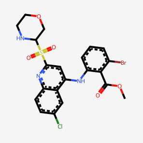 COC(=O)c1c(Br)cccc1Nc1cc(S(=O)(=O)C2COCCN2)nc2ccc(Cl)cc12